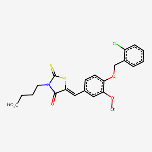 CCOc1cc(/C=C2\SC(=S)N(CCCC(=O)O)C2=O)ccc1OCc1ccccc1Cl